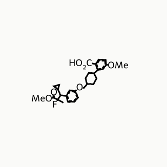 COC(=O)C(C)(F)C(c1cccc(OCC2CCC(c3cc(OC)ccc3C(=O)O)CC2)c1)C1CC1